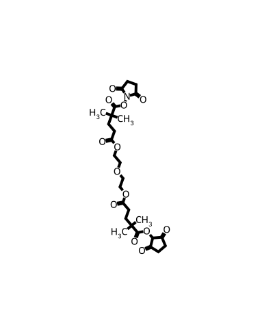 CC(C)(CCC(=O)OCCOCCOC(=O)CCC(C)(C)C(=O)ON1C(=O)CCC1=O)C(=O)OC1C(=O)CCC1=O